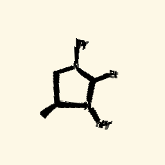 CCCN1C(CC)N(C(C)C)C[C@@H]1C